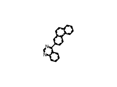 c1ccc2c(c1)ccc1cc(-c3ncnc4ccccc34)ccc12